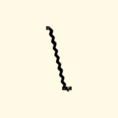 CC/C=C/C/C=C/CCCCCC/C=C/CCCCC(=O)O